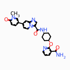 Cn1cc(-c2ccn3c(C(=O)N[C@H]4CC[C@H](Oc5ncccc5C(N)=O)CC4)cnc3c2)ccc1=O